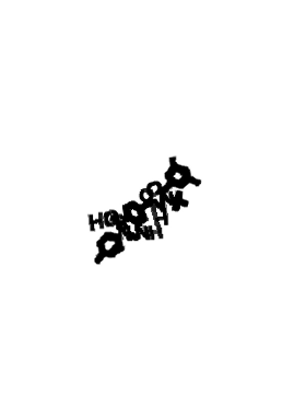 Cc1cc(C)cc(C(=O)N(NC(=O)c2ccc3c(c2)NCN(C2=CCC(C)C=C2)B3O)C(C)(C)C)c1